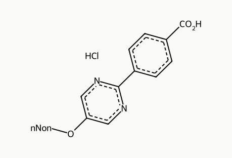 CCCCCCCCCOc1cnc(-c2ccc(C(=O)O)cc2)nc1.Cl